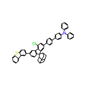 Clc1cc(-c2ccc(-c3ccc(N(c4ccccc4)c4ccccc4)cc3)cc2)cc2c1-c1cc(-c3ccc4sc5ccccc5c4c3)ccc1C21C2CC3CC(C2)CC1C3